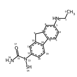 CCNc1ccc2c(c1)Cc1cc(N(S)C(N)=O)ccc1-2